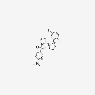 CN(C)c1ccc(S(=O)(=O)n2cccc2N2CCC[C@@H]2c2cc(F)ccc2F)cn1